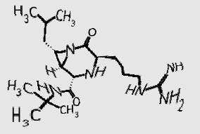 CC(C)C[C@H]1[C@@H]2[C@@H](C(=O)NC(C)(C)C)N[C@H](CCCNC(=N)N)C(=O)N21